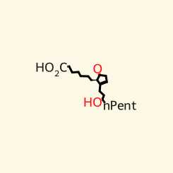 CCCCCC(O)CCC1=CCC(=O)[C@@H]1CCCCCCC(=O)O